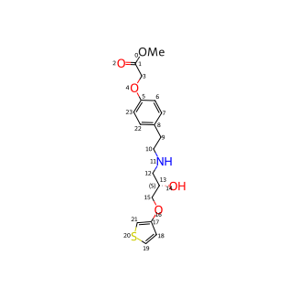 COC(=O)COc1ccc(CCNC[C@H](O)COc2ccsc2)cc1